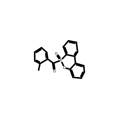 Cc1ccccc1C(=O)P1(=O)Oc2ccccc2-c2ccccc21